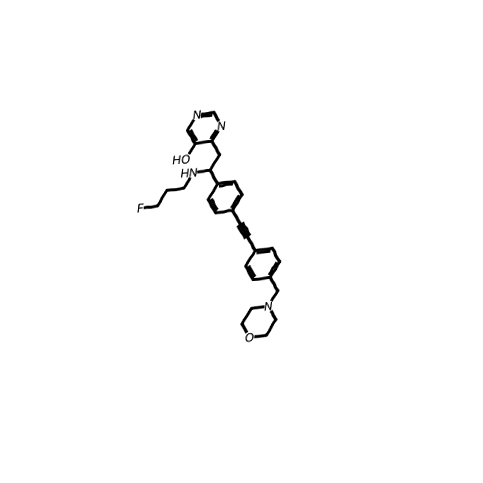 Oc1cncnc1CC(NCCCF)c1ccc(C#Cc2ccc(CN3CCOCC3)cc2)cc1